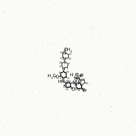 COc1cc(N2CCC(N3CCN(C)CC3)CC2)ccc1Nc1ncc(Cl)c(Nc2ccc(Br)c3c2N(S(C)(=O)=O)CC3)n1